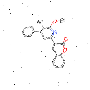 CCOc1nc(-c2cc3ccccc3oc2=O)cc(-c2ccccc2)c1C#N